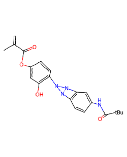 C=C(C)C(=O)Oc1ccc(-n2n3c4ccc(NC(=O)C(C)(C)C)cc4n23)c(O)c1